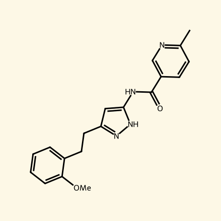 COc1ccccc1CCc1cc(NC(=O)c2ccc(C)nc2)[nH]n1